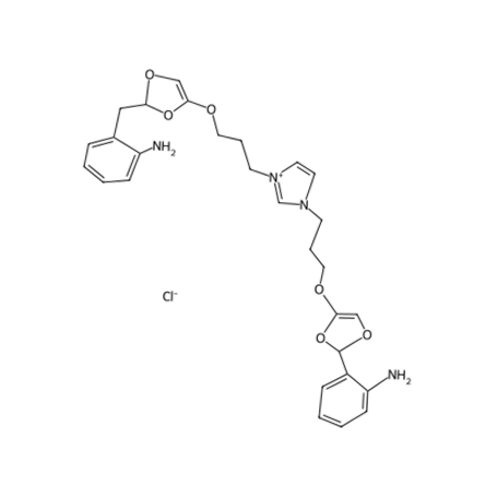 Nc1ccccc1CC1OC=C(OCCC[n+]2ccn(CCCOC3=COC(c4ccccc4N)O3)c2)O1.[Cl-]